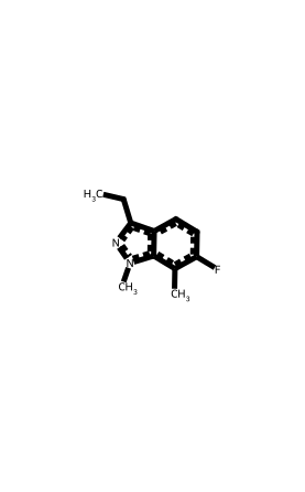 CCc1nn(C)c2c(C)c(F)ccc12